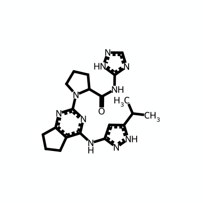 CC(C)c1cc(Nc2nc(N3CCCC3C(=O)Nc3ncn[nH]3)nc3c2CCC3)n[nH]1